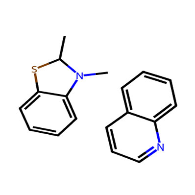 CC1Sc2ccccc2N1C.c1ccc2ncccc2c1